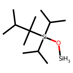 CC(C)C(C)(C)[Si](O[SiH3])(C(C)C)C(C)C